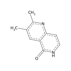 Cc1cc2c(=O)[nH]ccc2nc1C